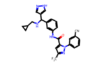 N#Cc1cccc(-n2nc(C(F)(F)F)cc2C(=O)Nc2cccc(C(NCC3CC3)c3cn[nH]c3)c2)c1